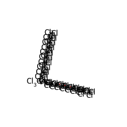 CC(=O)CC(Cl)(Cl)Cl.ClC(Cl)Cl.ClC(Cl)Cl.ClC(Cl)Cl.ClC(Cl)Cl.ClC(Cl)Cl.ClC(Cl)Cl.ClC(Cl)Cl.ClC(Cl)Cl.ClC(Cl)Cl.ClC(Cl)Cl.ClC(Cl)Cl.ClC(Cl)Cl.ClC(Cl)Cl.ClC(Cl)Cl.ClC(Cl)Cl.ClC(Cl)Cl.ClC(Cl)Cl.ClC(Cl)Cl.ClC(Cl)Cl